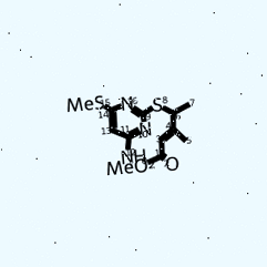 COC(=O)C=C(C)C(C)Sc1nc(N)cc(SC)n1